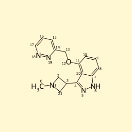 CN1CC(c2n[nH]c3cccc(OCc4cccnn4)c23)C1